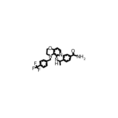 CC(Nc1nccc2c1N(Cc1ccc(C(F)(F)F)cc1)CCO2)c1ccc(C(N)=O)cc1